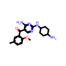 COc1ccc(C)cc1C(=O)c1cnc(NC2CCC(N)CC2)nc1N